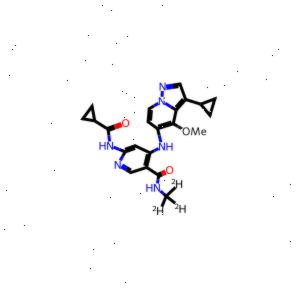 [2H]C([2H])([2H])NC(=O)c1cnc(NC(=O)C2CC2)cc1Nc1ccn2ncc(C3CC3)c2c1OC